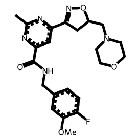 COc1cc(CNC(=O)c2cc(C3=NOC(CN4CCOCC4)C3)nc(C)n2)ccc1F